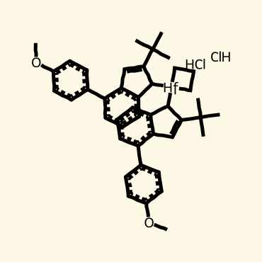 COc1ccc(-c2cccc3c2C=C(C(C)(C)C)[CH]3[Hf]2([CH]3C(C(C)(C)C)=Cc4c(-c5ccc(OC)cc5)cccc43)[CH2]C[CH2]2)cc1.Cl.Cl